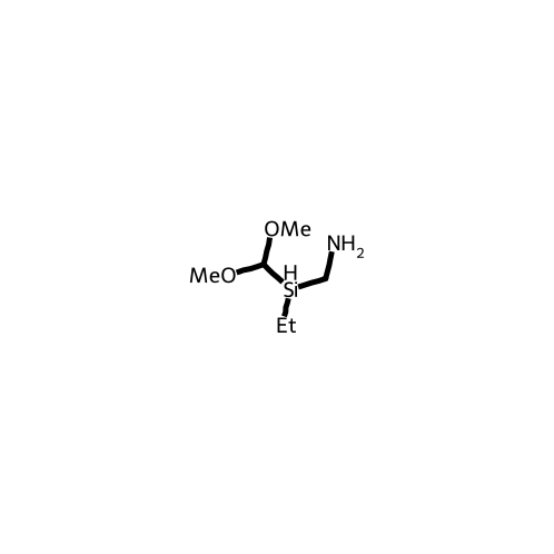 CC[SiH](CN)C(OC)OC